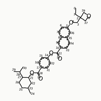 CCC1(COc2ccc3cc(C(=O)Oc4ccc(C(=O)OC5CC(C)CCC5C(C)C)cc4)ccc3c2)COC1